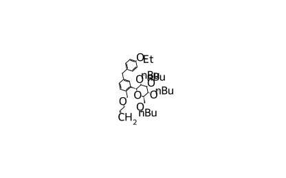 C=CCOCc1ccc(Cc2ccc(OCC)cc2)cc1[C@@H]1O[C@H](COCCCC)[C@@H](OCCCC)[C@H](OCCCC)[C@H]1OCCCC